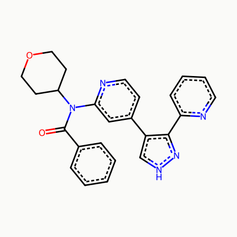 O=C(c1ccccc1)N(c1cc(-c2c[nH]nc2-c2ccccn2)ccn1)C1CCOCC1